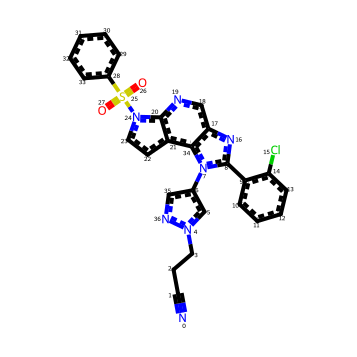 N#CCCn1cc(-n2c(-c3ccccc3Cl)nc3cnc4c(ccn4S(=O)(=O)c4ccccc4)c32)cn1